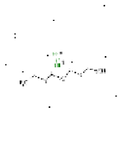 CCCC[B]CCCC.F.F.F